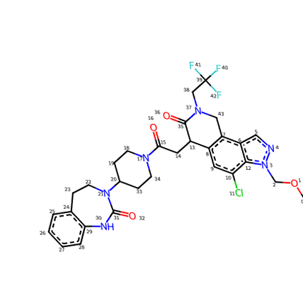 COCn1ncc2c3c(cc(Cl)c21)C(CC(=O)N1CCC(N2CCc4ccccc4NC2=O)CC1)C(=O)N(CC(F)(F)F)C3